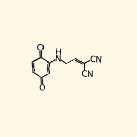 N#CC(C#N)=CCNC1=CC(=O)C=CC1=O